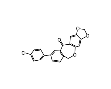 O=C1c2cc(-c3ccc(Cl)cc3)ccc2COc2cc3c(cc21)OCO3